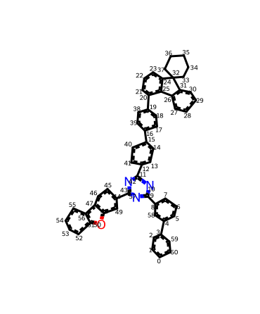 c1ccc(-c2cccc(-c3nc(-c4ccc(-c5ccc(-c6cccc7c6-c6ccccc6C76CCCCC6)cc5)cc4)nc(-c4ccc5c(c4)oc4ccccc45)n3)c2)cc1